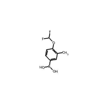 Cc1cc(B(O)O)ccc1OC(F)F